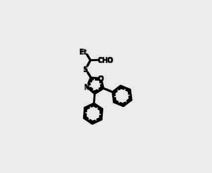 CCC(C=O)Sc1nc(-c2ccccc2)c(-c2ccccc2)o1